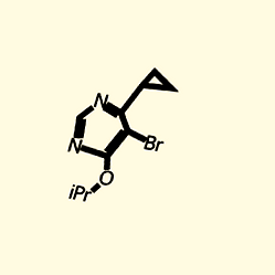 CC(C)Oc1ncnc(C2CC2)c1Br